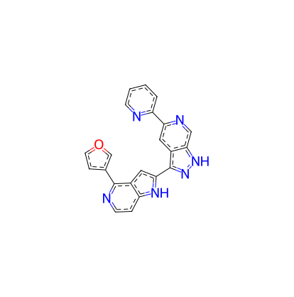 c1ccc(-c2cc3c(-c4cc5c(-c6ccoc6)nccc5[nH]4)n[nH]c3cn2)nc1